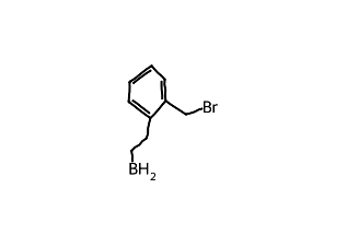 BCCc1ccccc1CBr